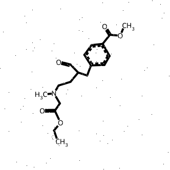 CCOC(=O)CN(C)CCC(C=O)Cc1ccc(C(=O)OC)cc1